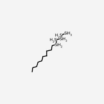 CCCCCCCCCC[SiH2][SiH2][SiH2][SiH2][SiH3]